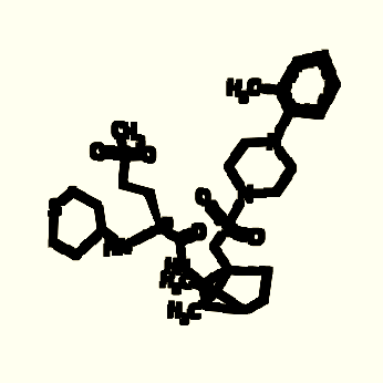 Cc1ccccc1N1CCN(S(=O)(=O)CC23CCC(CC2NC(=O)[C@H](CCS(C)(=O)=O)NC2CCSCC2)C3(C)C)CC1